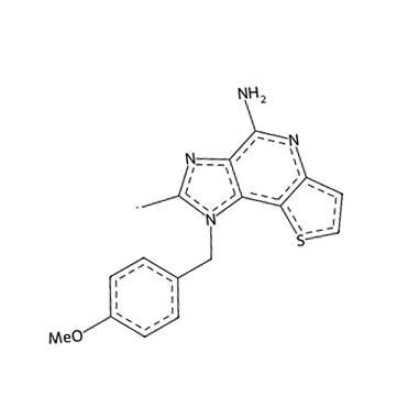 [CH2]c1nc2c(N)nc3ccsc3c2n1Cc1ccc(OC)cc1